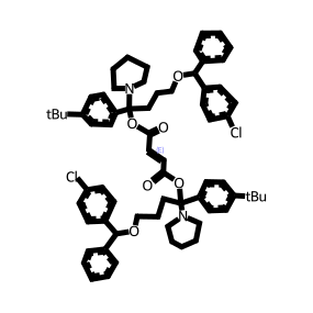 CC(C)(C)c1ccc(C(CCCOC(c2ccccc2)c2ccc(Cl)cc2)(OC(=O)/C=C/C(=O)OC(CCCOC(c2ccccc2)c2ccc(Cl)cc2)(c2ccc(C(C)(C)C)cc2)N2CCCCC2)N2CCCCC2)cc1